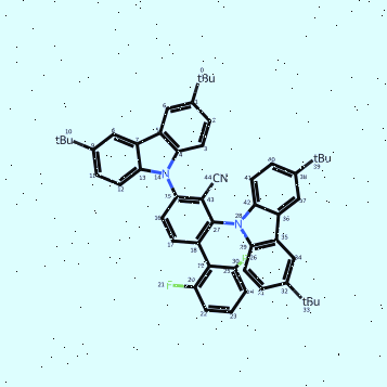 CC(C)(C)c1ccc2c(c1)c1cc(C(C)(C)C)ccc1n2-c1ccc(-c2c(F)cccc2F)c(-n2c3ccc(C(C)(C)C)cc3c3cc(C(C)(C)C)ccc32)c1C#N